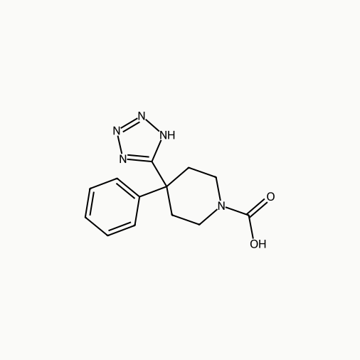 O=C(O)N1CCC(c2ccccc2)(c2nnn[nH]2)CC1